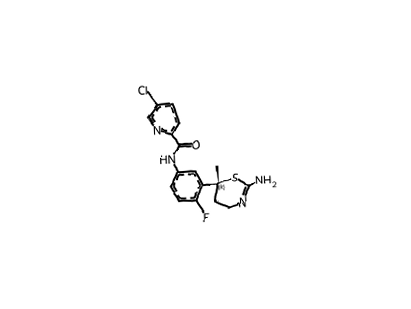 C[C@]1(c2cc(NC(=O)c3ccc(Cl)cn3)ccc2F)CCN=C(N)S1